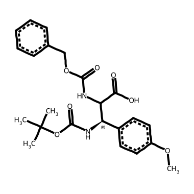 COc1ccc([C@@H](NC(=O)OC(C)(C)C)C(NC(=O)OCc2ccccc2)C(=O)O)cc1